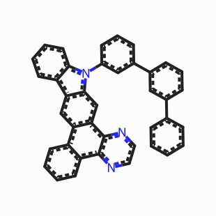 c1ccc(-c2cccc(-c3cccc(-n4c5ccccc5c5cc6c7ccccc7c7nccnc7c6cc54)c3)c2)cc1